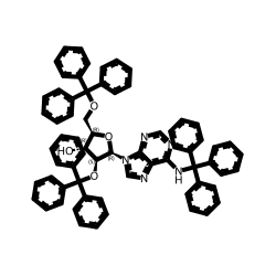 O[C@H]1[C@H](OC(c2ccccc2)(c2ccccc2)c2ccccc2)[C@H](n2cnc3c(NC(c4ccccc4)(c4ccccc4)c4ccccc4)ncnc32)O[C@@H]1COC(c1ccccc1)(c1ccccc1)c1ccccc1